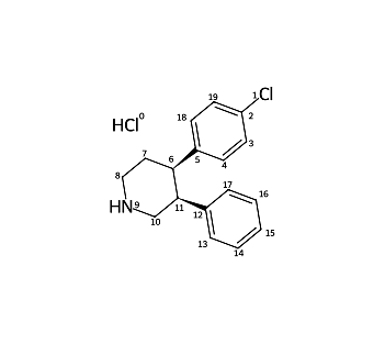 Cl.Clc1ccc([C@@H]2CCNC[C@@H]2c2ccccc2)cc1